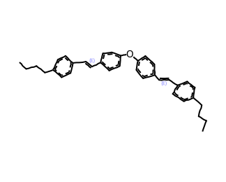 CCCCc1ccc(/C=C/c2ccc(Oc3ccc(/C=C/c4ccc(CCCC)cc4)cc3)cc2)cc1